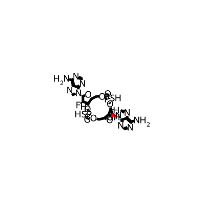 Nc1ncnc2c1ncn2[C@@H]1OC2CO[P@@](=O)(S)O[C@@H]3[C@H](O)C(CO[P@@](=O)(S)O[C@H]2[C@H]1F)O[C@H]3n1cnc2c(N)ncnc21